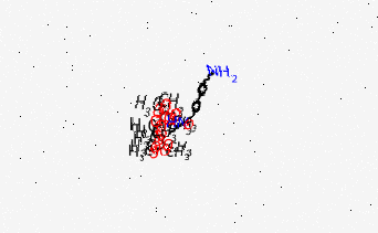 CC1(C)O[C@H]([C@H]2OC(C)(C)O[C@H]2CCCC(CCC[C@@H]2OC(C)(C)O[C@@H]2[C@H]2OC(C)(C)O[C@@H]2[C@H]2COC(C)(C)O2)CNC(=O)CCc2ccc(-c3ccc(CCCCN)cc3)cc2)[C@@H]([C@H]2COC(C)(C)O2)O1